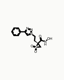 O=C(NO)[C@]1(CCn2cc(-c3ccccc3)nn2)CS1(=O)=O